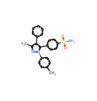 Cc1ccc(-n2nc(C(F)(F)F)c(-c3ccccc3)c2-c2ccc(S(N)(=O)=O)cc2)cc1